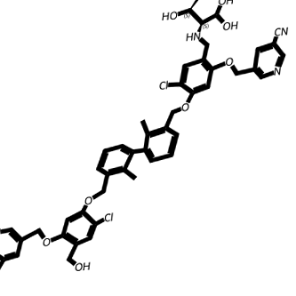 Cc1c(COc2cc(OCc3cncc(C=N)c3)c(CO)cc2Cl)cccc1-c1cccc(COc2cc(OCc3cncc(C#N)c3)c(CN[C@H](C(O)O)[C@H](C)O)cc2Cl)c1C